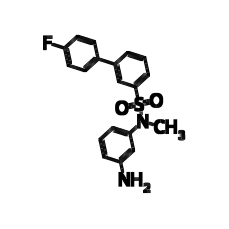 CN(c1cccc(N)c1)S(=O)(=O)c1cccc(-c2ccc(F)cc2)c1